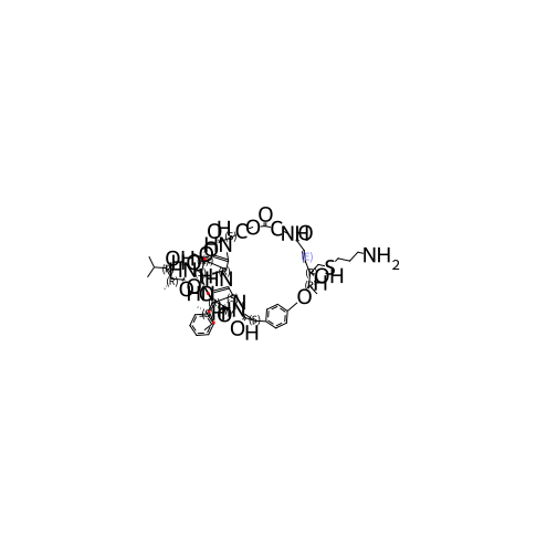 CC[C@H](C)[C@H]1NC(=O)[C@@H](NC(=O)[C@H](C)[C@H](O)C(C)C)[C@@H](C)OC(=O)[C@@H]2COC(=O)CNC(=O)/C=C/[C@](O)(CSCCCN)[C@@H](C)Oc3ccc(cc3)[C@H](NC1=O)C(=O)N(C)[C@@H](Cc1ccccc1)C(=O)N[C@H]([C@@H](C)O)C(=O)N2